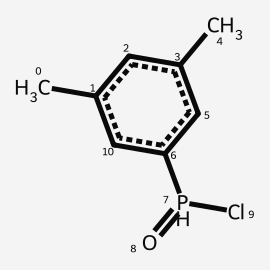 Cc1cc(C)cc([PH](=O)Cl)c1